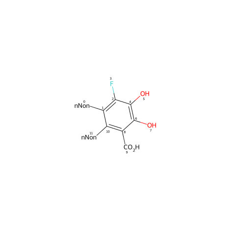 CCCCCCCCCc1c(F)c(O)c(O)c(C(=O)O)c1CCCCCCCCC